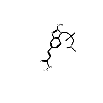 CSc1nc2cc(/C=C/C(=O)NO)ccc2n1CC(C)(C)CN(C)C